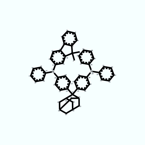 CC1(C)c2ccccc2-c2ccc(N(c3ccccc3)c3ccc(C4(c5ccc(N(c6ccccc6)c6ccccc6)cc5)C5CC6CC(C5)CC4C6)cc3)cc21